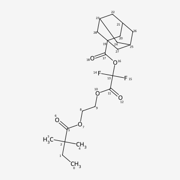 CCC(C)(C)C(=O)OCCOC(=O)C(F)(F)OC(=O)C12CC3CC(CC(C3)C1)C2